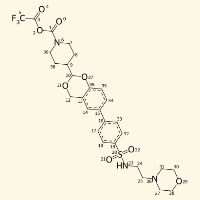 O=C(OC(=O)C(F)(F)F)N1CCC(C2OCc3cc(-c4ccc(S(=O)(=O)NCCN5CCOCC5)cc4)ccc3O2)CC1